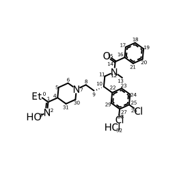 CCC(=NO)C1CCN(CC[C@H](CN(C)C(=O)c2ccccc2)c2ccc(Cl)c(Cl)c2)CC1.Cl